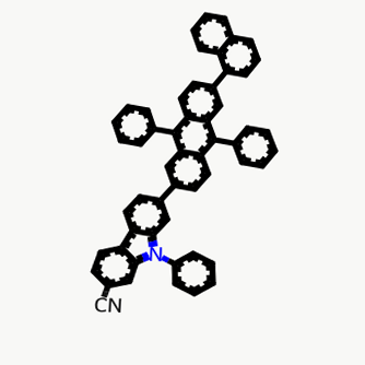 N#Cc1ccc2c3ccc(-c4ccc5c(-c6ccccc6)c6cc(-c7cccc8ccccc78)ccc6c(-c6ccccc6)c5c4)cc3n(-c3ccccc3)c2c1